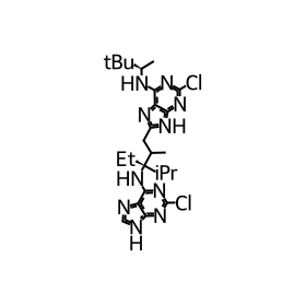 CC[C@](Nc1nc(Cl)nc2[nH]cnc12)(C(C)C)C(C)Cc1nc2c(N[C@H](C)C(C)(C)C)nc(Cl)nc2[nH]1